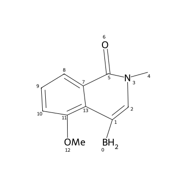 Bc1cn(C)c(=O)c2cccc(OC)c12